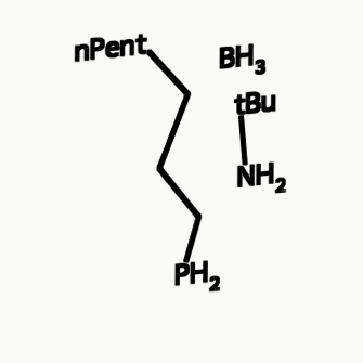 B.CC(C)(C)N.CCCCCCCCP